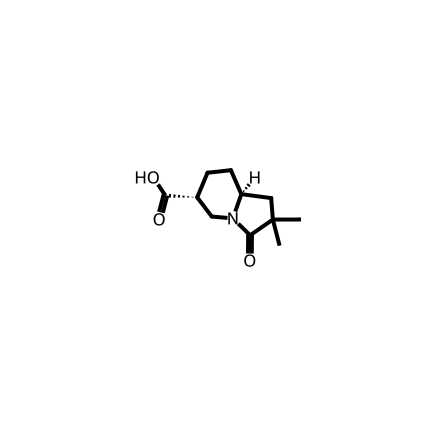 CC1(C)C[C@@H]2CC[C@@H](C(=O)O)CN2C1=O